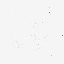 CC1(C)c2cc3ccccc3cc2-c2cccc(N(c3ccc(-c4ccc5oc6ccccc6c5c4)cc3)c3ccc4ccccc4c3-c3ccc4ccccc4c3)c21